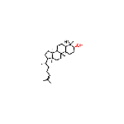 CC(C)=CCC[C@@H](C)C1CC[C@@]2(C)C3CC[C@H]4C(C)(C)[C@@H](O)CCC45CC35CCC12C